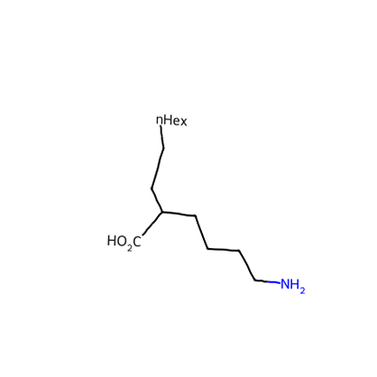 CCCCCCCCC(CCCCN)C(=O)O